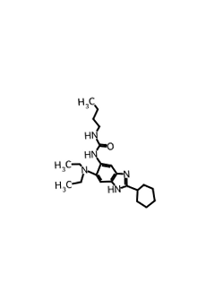 CCCCNC(=O)Nc1cc2nc(C3CCCCC3)[nH]c2cc1N(CC)CC